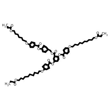 C=CC(=O)OCCCCCCCCCCOc1ccc(C(=O)Oc2ccc(OC(=O)c3ccc(OCCCCCCCCCCOC(=O)C=C)cc3)c(C(=O)OCc3ccc(OC(=O)c4ccc(OCCCCCCCOC(=O)C=C)cc4)cc3)c2)cc1